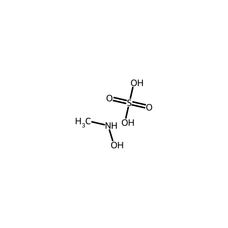 CNO.O=S(=O)(O)O